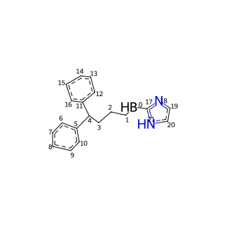 B(CCCC(c1ccccc1)c1ccccc1)c1ncc[nH]1